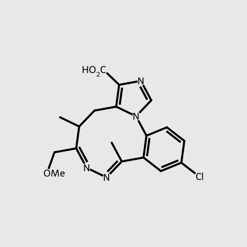 COC/C1=N/N=C(\C)c2cc(Cl)ccc2-n2cnc(C(=O)O)c2CC1C